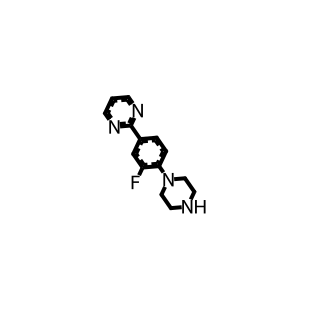 Fc1cc(-c2ncccn2)ccc1N1CCNCC1